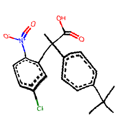 CC(C)(C)c1ccc(C(C)(C(=O)O)c2cc(Cl)ccc2[N+](=O)[O-])cc1